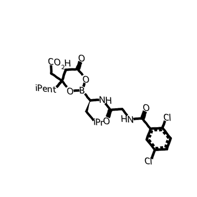 CCCC(C)C1(CC(=O)O)CC(=O)OB([C@H](CC(C)C)NC(=O)CNC(=O)c2cc(Cl)ccc2Cl)O1